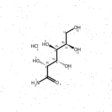 Cl.NC(=O)[C@H](O)[C@@H](O)[C@@H](O)[C@H](O)CO